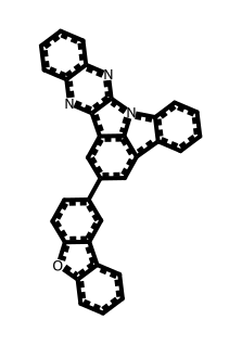 c1ccc2nc3c(nc2c1)c1cc(-c2ccc4oc5ccccc5c4c2)cc2c4ccccc4n3c21